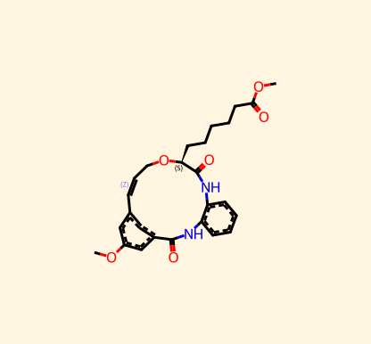 COC(=O)CCCCC[C@@H]1OC/C=C\c2cc(OC)cc(c2)C(=O)Nc2ccccc2NC1=O